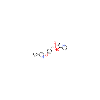 C=C(C(=O)OCc1ccc(Oc2ccc(C(F)(F)F)cn2)cc1)C(O)c1ccccn1